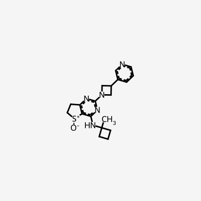 CC1(Nc2nc(N3CC(c4cccnc4)C3)nc3c2[S@+]([O-])CC3)CCC1